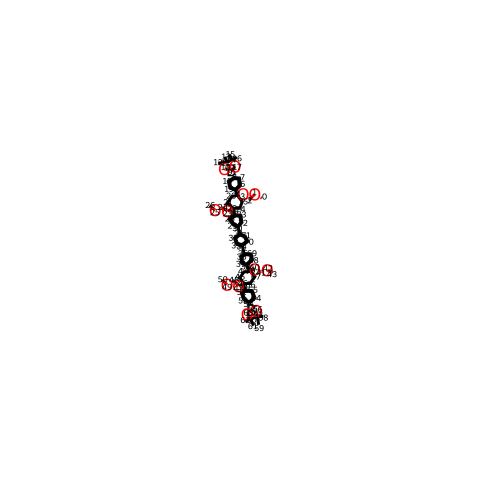 COCOC1(c2ccc(B3OC(C)(C)C(C)(C)O3)cc2)CCC(OCOC)(c2ccc(-c3ccc(-c4ccc(C5(OCOC)CCC(OCOC)(c6ccc(B7OC(C)(C)C(C)(C)O7)cc6)CC5)cc4)cc3)cc2)CC1